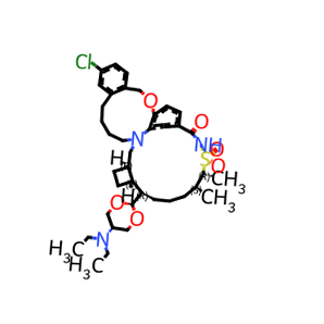 CCN(CC)[C@H]1CO[C@@H]([C@@H]2CCC[C@H](C)[C@@H](C)S(=O)(=O)NC(=O)c3ccc4c(c3)N(CCCCc3cc(Cl)ccc3CO4)C[C@@H]3CC[C@H]32)OC1